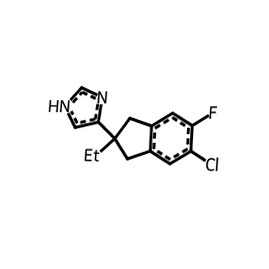 CCC1(c2c[nH]cn2)Cc2cc(F)c(Cl)cc2C1